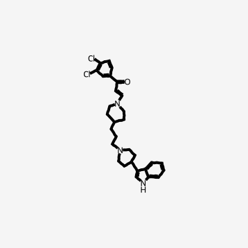 O=C(/C=C/N1CCC(CCCN2CCC(c3c[nH]c4ccccc34)CC2)CC1)c1ccc(Cl)c(Cl)c1